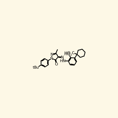 CC1=NN(c2ccc(C(C)(C)C)cc2)C(=O)C1=NNc1cccc(C2(C(=O)O)CCCCC2)c1O